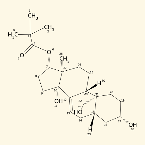 CC(C)(C)C(=O)O[C@H]1CC[C@]2(O)C3=CC[C@H]4C[C@@H](O)CC[C@]4(CO)[C@H]3CC[C@]12C